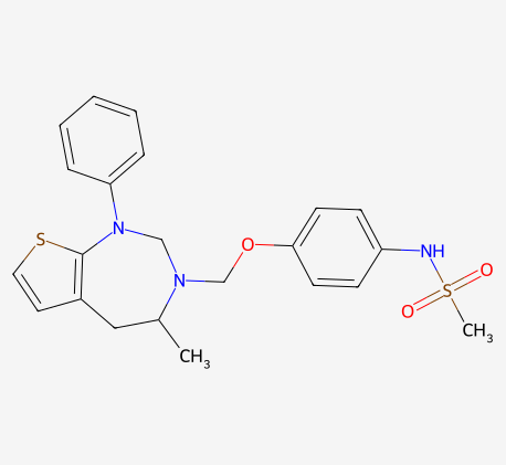 CC1Cc2ccsc2N(c2ccccc2)CN1COc1ccc(NS(C)(=O)=O)cc1